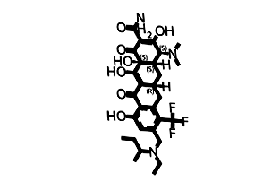 CCC(C)N(CC)Cc1cc(O)c2c(c1C(F)(F)F)C[C@H]1C[C@H]3[C@H](N(C)C)C(O)=C(C(N)=O)C(=O)[C@@]3(O)C(O)=C1C2=O